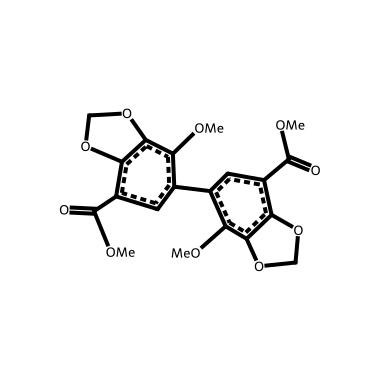 COC(=O)c1cc(-c2cc(C(=O)OC)c3c(c2OC)OCO3)c(OC)c2c1OCO2